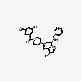 O=C(c1cc(Cl)cc(Cl)c1)N1CCC(c2cc(NCc3cccnc3)n3ncc(Br)c3n2)CC1